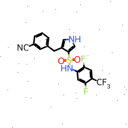 N#Cc1cccc(Cc2c[nH]cc2S(=O)(=O)Nc2cc(F)c(C(F)(F)F)cc2F)c1